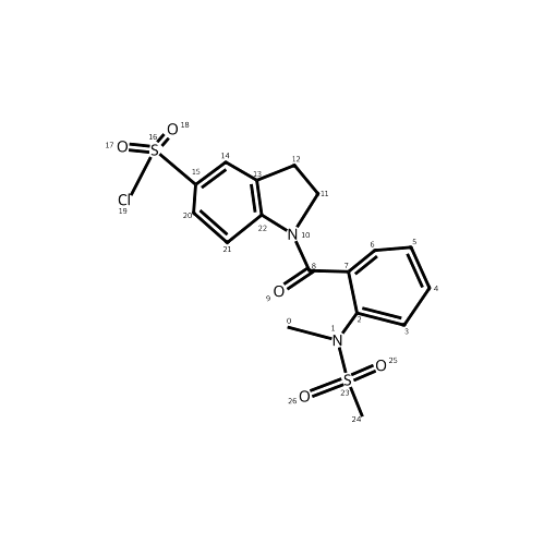 CN(c1ccccc1C(=O)N1CCc2cc(S(=O)(=O)Cl)ccc21)S(C)(=O)=O